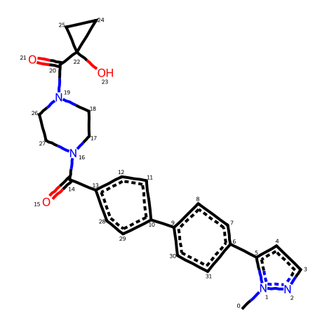 Cn1nccc1-c1ccc(-c2ccc(C(=O)N3CCN(C(=O)C4(O)CC4)CC3)cc2)cc1